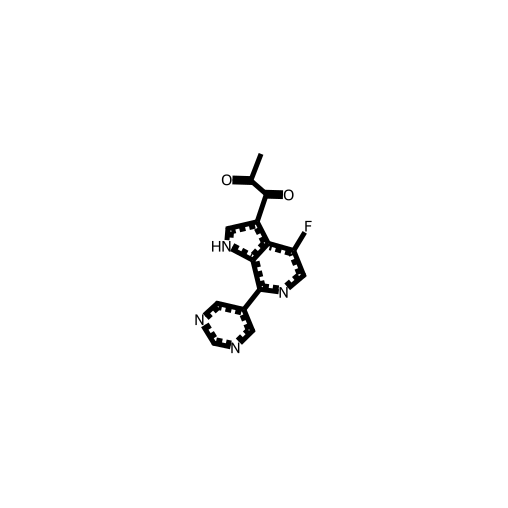 CC(=O)C(=O)c1c[nH]c2c(-c3cncnc3)ncc(F)c12